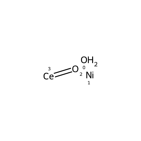 O.[Ni].[O]=[Ce]